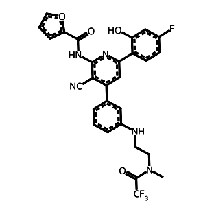 CN(CCNc1cccc(-c2cc(-c3ccc(F)cc3O)nc(NC(=O)c3ccco3)c2C#N)c1)C(=O)C(F)(F)F